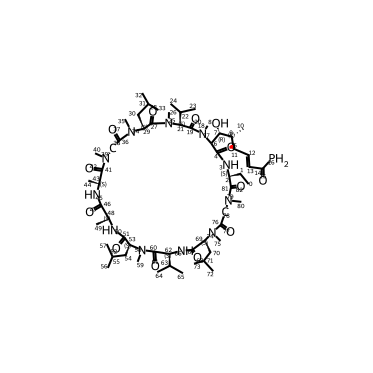 CC[C@@H]1NC(=O)C([C@H](O)[C@H](C)CC=CC(=O)P)N(C)C(=O)[C@H](C(C)C)N(C)C(=O)[C@H](CC(C)C)N(C)C(=O)CN(C)C(=O)[C@H](C)NC(=O)[C@H](C)NC(=O)[C@H](CC(C)C)N(C)C(=O)[C@H](C(C)C)NC(=O)[C@H](CC(C)C)N(C)C(=O)CN(C)C1=O